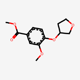 COC(=O)c1ccc(OC2CCOC2)c(OC)c1